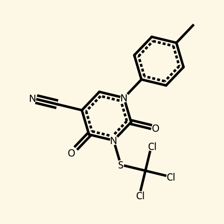 Cc1ccc(-n2cc(C#N)c(=O)n(SC(Cl)(Cl)Cl)c2=O)cc1